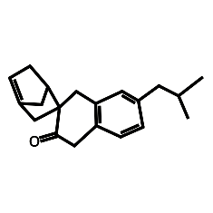 CC(C)Cc1ccc2c(c1)CC1(CC3=CCC1C3)C(=O)C2